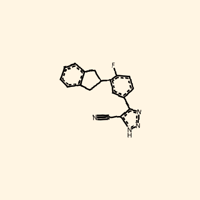 N#Cc1[nH]nnc1-c1ccc(F)c(C2Cc3ccccc3C2)c1